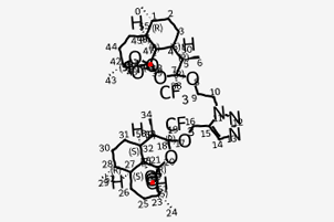 C[C@@H]1CC[C@H]2[C@@H](C)[C@](OCCn3nncc3CO[C@@]3(C(F)(F)F)O[C@@H]4O[C@]5(C)CC[C@H]6[C@H](C)CC[C@@H]([C@H]3C)[C@@]46OO5)(C(F)(F)F)O[C@@H]3O[C@]4(C)CC[C@@H]1[C@]32OO4